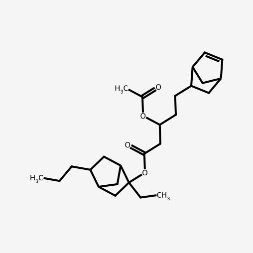 CCCC1CC2CC1CC2(CC)OC(=O)CC(CCC1CC2C=CC1C2)OC(C)=O